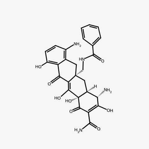 NC(=O)C1=C(O)[C@@H](N)[C@@H]2C[C@]3(CNC(=O)c4ccccc4)Cc4c(N)ccc(O)c4C(=O)C3=C(O)[C@]2(O)C1=O